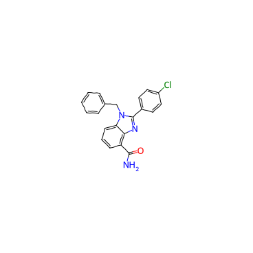 NC(=O)c1cccc2c1nc(-c1ccc(Cl)cc1)n2Cc1ccccc1